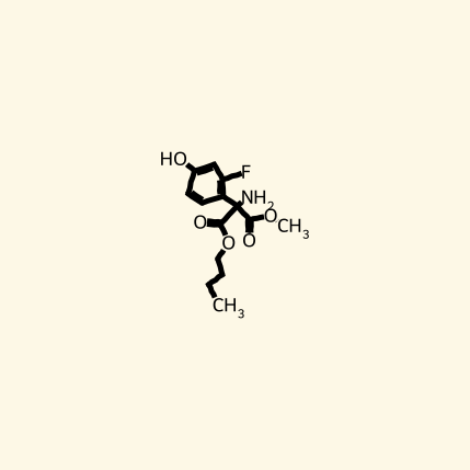 CCCCOC(=O)C(N)(C(=O)OC)c1ccc(O)cc1F